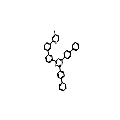 Cc1ccnc(-c2cccc(-c3cccc(-c4nc(-c5ccc(-c6ccccc6)cc5)nc(-c5ccc(-c6ccccc6)cc5)n4)c3)c2)c1